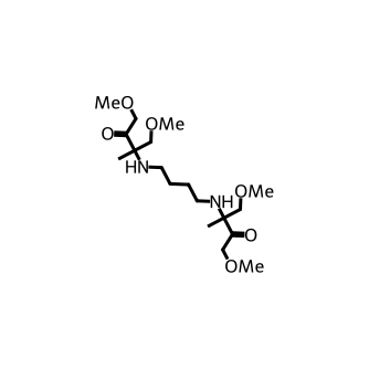 COCC(=O)C(C)(COC)NCCCCNC(C)(COC)C(=O)COC